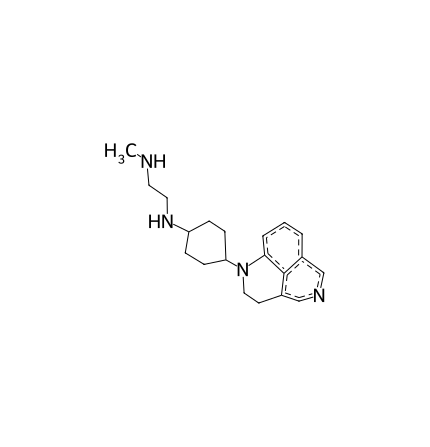 CNCCNC1CCC(N2CCc3cncc4cccc2c34)CC1